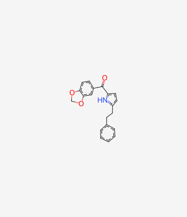 O=C(c1ccc2c(c1)OCO2)c1ccc(CCc2ccccc2)[nH]1